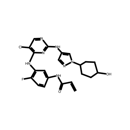 C=CC(=O)Nc1ccc(F)c(Nc2nc(Nc3cnn(C4CCC(O)CC4)c3)ncc2Cl)c1